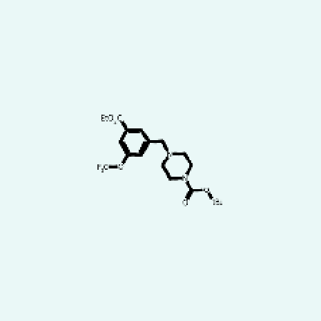 CCOC(=O)c1cc(CN2CCN(C(=O)OC(C)(C)C)CC2)cc(OC(F)(F)F)c1